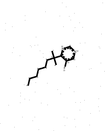 CCCCCCC(C)(C)c1ncncc1F